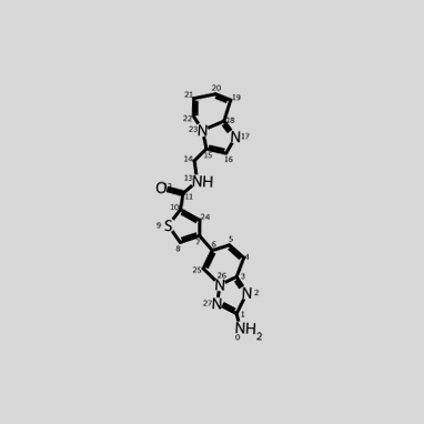 Nc1nc2ccc(-c3csc(C(=O)NCc4cnc5ccccn45)c3)cn2n1